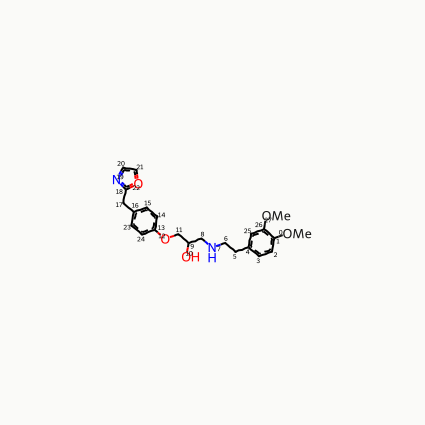 COc1ccc(CCNCC(O)COc2ccc(Cc3ncco3)cc2)cc1OC